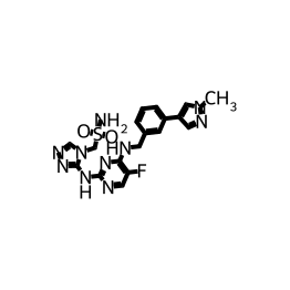 Cn1cc(-c2cccc(CNc3nc(Nc4nncn4CS(N)(=O)=O)ncc3F)c2)cn1